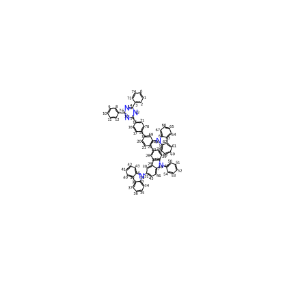 c1ccc(-c2nc(-c3ccccc3)nc(-c3ccc(-c4ccc(-c5ccc6c(c5)c5cc(-n7c8ccccc8c8ccccc87)ccc5n6-c5ccccc5)c(-n5c6ccccc6c6ccccc65)c4)cc3)n2)cc1